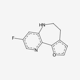 Fc1cnc2c(c1)NCCc1ccoc1-2